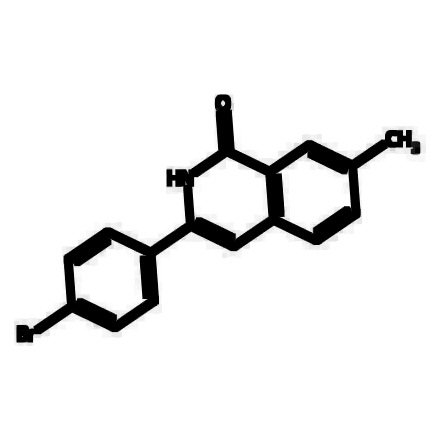 Cc1ccc2cc(-c3ccc(Br)cc3)[nH]c(=O)c2c1